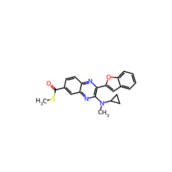 CSC(=O)c1ccc2nc(-c3cc4ccccc4o3)c(N(C)C3CC3)nc2c1